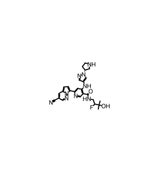 CC(C)(O)C(F)CNC(=O)c1cnc(-c2ccc3cc(C#N)cnn23)cc1Nc1cnn([C@@H]2CCNC2)c1